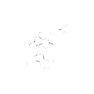 COc1c(C)cnc(Cn2c(=O)n(CCC=C(C)C)c3c(Cl)nc(N)nc32)c1C